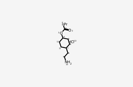 CCCC(=O)OC1CCC(CCN)CC1.Cl